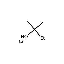 CCC(C)(C)O.[Cr]